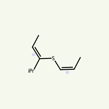 C/C=C\S/C(=C\C)C(C)C